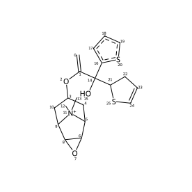 C=C(OC1CC2C3OC3C(C1)[N+]2(C)C)C(O)(c1cccs1)C1CC=CS1